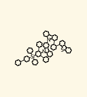 c1ccc(-c2ccc([Si](c3ccccc3)(c3ccccc3)c3cc(-c4ccccc4)c(-n4c5ccccc5c5cc(-n6c7ccccc7c7cccc(-c8ccccc8-c8cccc9c8sc8ccccc89)c76)ccc54)c(-c4ccccc4)c3)cc2)cc1